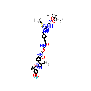 CCCSc1nc(NCCNC(=O)OC(C)(C)C)c2nnn(Cc3ccc(C#CC(=O)NCCOCCNC(=O)c4cccc(-c5nc(NC(=O)C6(c7ccc8c(c7)OC(F)(F)O8)CC6)ccc5C)c4)cc3)c2n1